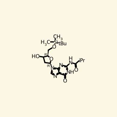 CC(C)C(=O)Nc1nc2c(ncn2[C@H]2CC(O)[C@@H](CO[Si](C)(C)C(C)(C)C)O2)c(=O)[nH]1